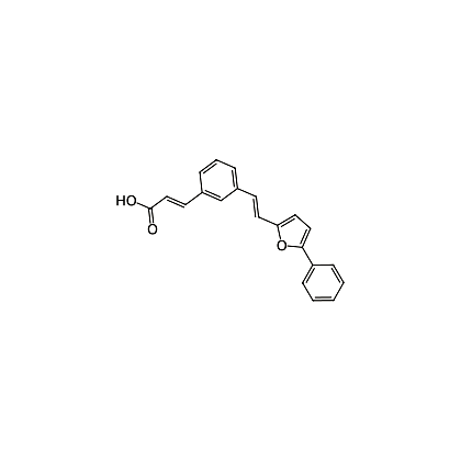 O=C(O)C=Cc1cccc(C=Cc2ccc(-c3ccccc3)o2)c1